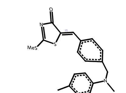 CSC1=NC(=O)/C(=C/c2ccc(CN(C)c3ccc(C)cc3)cc2)S1